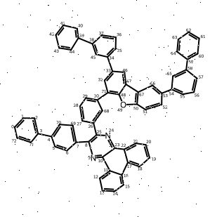 c1ccc(-c2ccc(-c3nc4c5ccccc5c5ccccc5c4nc3-c3cccc(-c4cc(-c5cccc(-c6ccccc6)c5)cc5c4oc4ccc(-c6cccc(-c7ccccc7)c6)cc45)c3)cc2)cc1